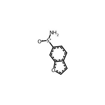 N[S+]([O-])c1ccc2ccoc2c1